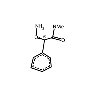 CNC(=O)[C@H](ON)c1ccccc1